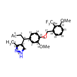 COc1cc(C(CC(C)=O)c2c[nH]nc2C)ccc1OCc1cccc(OC)c1C(F)(F)F